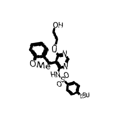 COc1ccccc1Cc1c(NS(=O)(=O)c2ccc(C(C)(C)C)cc2)ncnc1OCCO